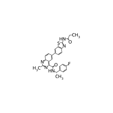 CCC(=O)Nc1nc2ccc(-c3ccc4nc(C)nc(C(=O)N[C@@H](C)c5ccc(F)cc5)c4c3)cc2s1